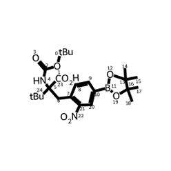 CC(C)(C)OC(=O)NC(Cc1ccc(B2OC(C)(C)C(C)(C)O2)cc1[N+](=O)[O-])(C(=O)O)C(C)(C)C